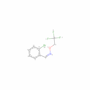 FC(F)(F)CO/N=[C]\c1ccccc1Br